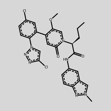 CCC[C@@H](C(=O)Nc1ccc2nn(C)cc2c1)n1cc(OC)c(-c2cc(Cl)ccc2-n2cc(Cl)nn2)cc1=O